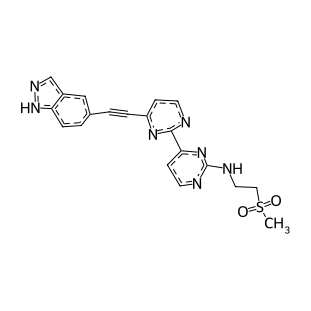 CS(=O)(=O)CCNc1nccc(-c2nccc(C#Cc3ccc4[nH]ncc4c3)n2)n1